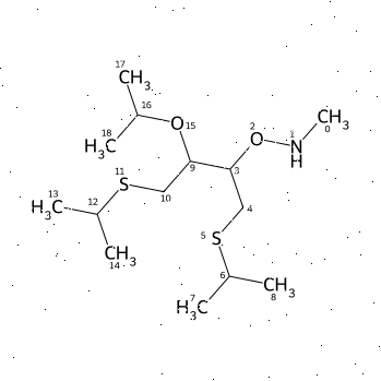 CNOC(CSC(C)C)C(CSC(C)C)OC(C)C